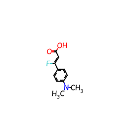 CN(C)c1ccc(C(F)=CC(=O)O)cc1